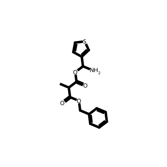 CC(C(=O)OCc1ccccc1)C(=O)OC(N)c1ccsc1